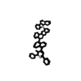 CC1C(c2cccc3c(C4Cc5cc6cccc(-n7c8ccccc8c8ccc9ccccc9c87)c6cc5-c5ccccc54)cccc23)=CC(C2C=CC=CC2)=NC1C1=CC=CCC1